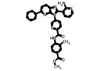 COC(=O)c1ccc(NC(=O)c2ccc(-n3c(-c4cccnc4N)nc4ccc(-c5ccccc5)nc43)cn2)c(C)c1